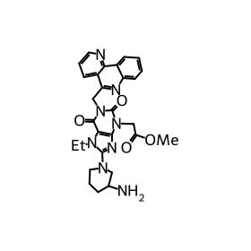 CCn1c(N2CCCC(N)C2)nc2c1c(=O)n(Cc1nc3ccccc3c3ncccc13)c(=O)n2CC(=O)OC